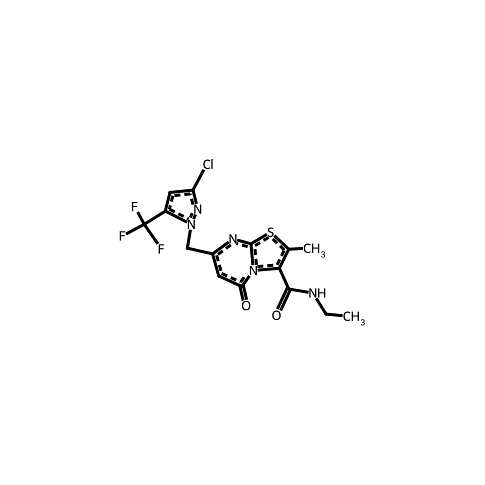 CCNC(=O)c1c(C)sc2nc(Cn3nc(Cl)cc3C(F)(F)F)cc(=O)n12